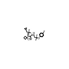 N#CC1(NC(=O)[C@H](CC(F)(F)CC2CC2)NCC(F)(F)Oc2ccc(F)cc2)CCC1